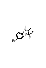 CC(Nc1ccc(Br)cc1)C(F)(F)F